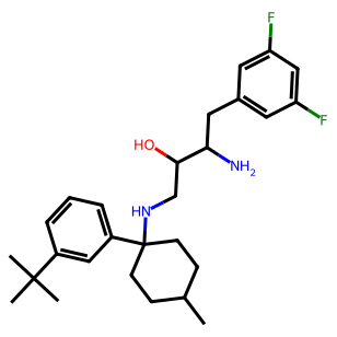 CC1CCC(NCC(O)C(N)Cc2cc(F)cc(F)c2)(c2cccc(C(C)(C)C)c2)CC1